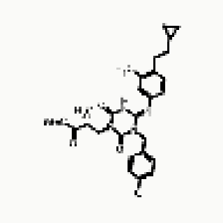 COC(=O)[C@@H](C)Cn1c(=O)[nH]/c(=N\c2ccc(CCC3CC3)c(C)c2)n(Cc2ccc(Cl)cc2)c1=O